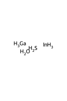 O.S.[GaH3].[InH3]